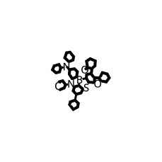 c1ccc(-c2cc3c4c(c2)N(c2ccccc2)c2cc(N(c5ccccc5)c5ccccc5)ccc2B4c2c(c4oc5ccccc5c4c4c2oc2ccccc24)S3)cc1